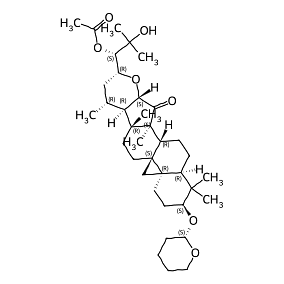 CC(=O)O[C@@H]([C@H]1C[C@@H](C)[C@H]2[C@H](O1)C(=O)[C@@]1(C)[C@@H]3CC[C@H]4C(C)(C)[C@@H](O[C@H]5CCCCO5)CC[C@@]45C[C@@]35CC[C@]21C)C(C)(C)O